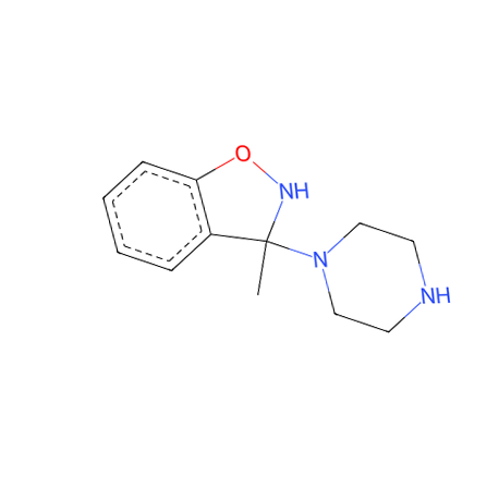 CC1(N2CCNCC2)NOc2ccccc21